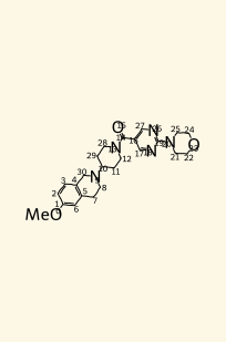 COc1ccc2c(c1)CCN(C1CCN(C(=O)c3cnc(N4CCOCC4)nc3)CC1)C2